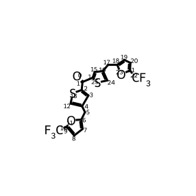 O=C(c1cc(Cc2ccc(C(F)(F)F)o2)cs1)c1cc(Cc2ccc(C(F)(F)F)o2)cs1